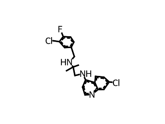 CC(C)(CNc1ccnc2cc(Cl)ccc12)NCc1ccc(F)c(Cl)c1